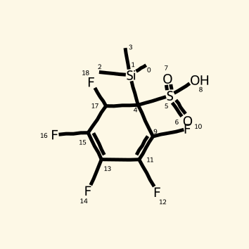 C[Si](C)(C)C1(S(=O)(=O)O)C(F)=C(F)C(F)=C(F)C1F